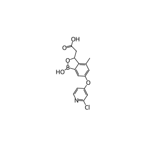 Cc1cc(Oc2ccnc(Cl)c2)cc2c1C(CC(=O)O)OB2O